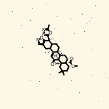 COC(=O)[C@]12CCC(C)(C)C[C@H]1[C@H]1C(=O)C=C3[C@@]4(C)Cc5cnoc5[C@@](C)(c5nnc(C)o5)C4CC[C@@]3(C)[C@]1(C)CC2